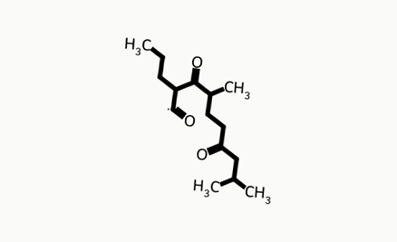 CCCC([C]=O)C(=O)C(C)CCC(=O)CC(C)C